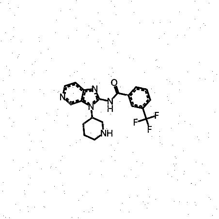 O=C(Nc1nc2ccncc2n1C1CCCNC1)c1cccc(C(F)(F)F)c1